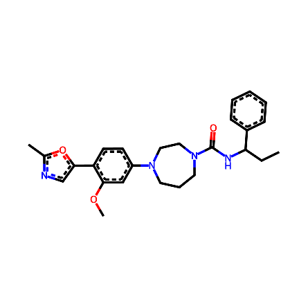 CCC(NC(=O)N1CCCN(c2ccc(-c3cnc(C)o3)c(OC)c2)CC1)c1ccccc1